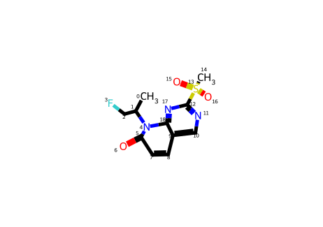 CC(CF)n1c(=O)ccc2cnc(S(C)(=O)=O)nc21